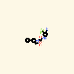 C[C@](O)(Cn1ccc2cc(-c3ccccc3)ccc21)C(=O)Nc1ccc(C#N)c(C(F)(F)F)c1